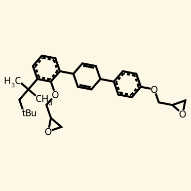 CC(C)(C)CC(C)(C)c1cccc(C2C=CC(c3ccc(OCC4CO4)cc3)C=C2)c1OCC1CO1